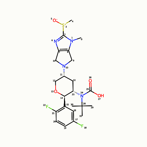 Cn1c([S+](C)[O-])nc2c1CN([C@H]1CO[C@H](c3cc(F)ccc3F)[C@@H](N(C(=O)O)C(C)(C)C)C1)C2